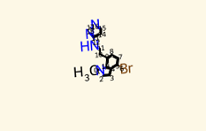 Cn1ccc2c(Br)ccc(CCNc3ccncn3)c21